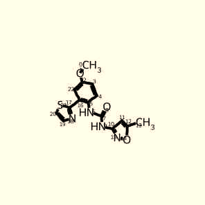 COc1ccc(NC(=O)Nc2cc(C)on2)c(-c2nccs2)c1